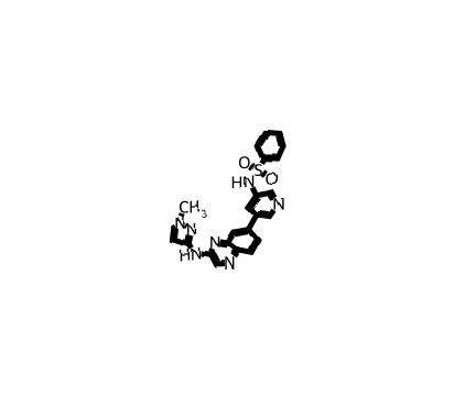 Cn1ccc(Nc2cnc3ccc(-c4cncc(NS(=O)(=O)c5ccccc5)c4)cc3n2)n1